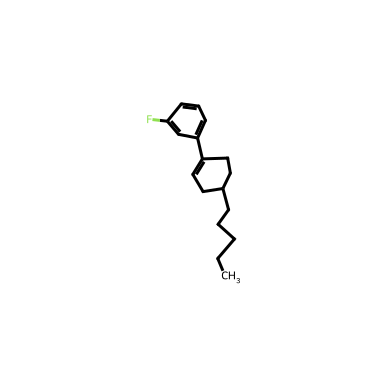 CCCCCC1CC=C(c2cccc(F)c2)CC1